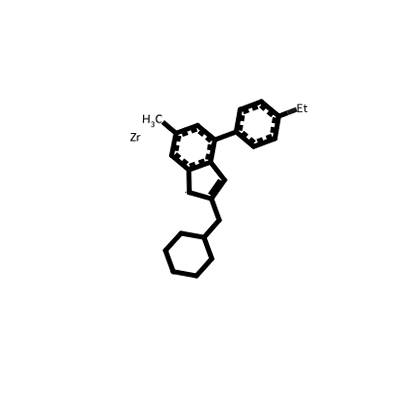 CCc1ccc(-c2cc(C)cc3c2C=C(CC2CCCCC2)[CH]3)cc1.[Zr]